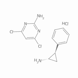 Cl.N[C@H]1C[C@@H]1c1ccccc1.Nc1nc(Cl)cc(Cl)n1